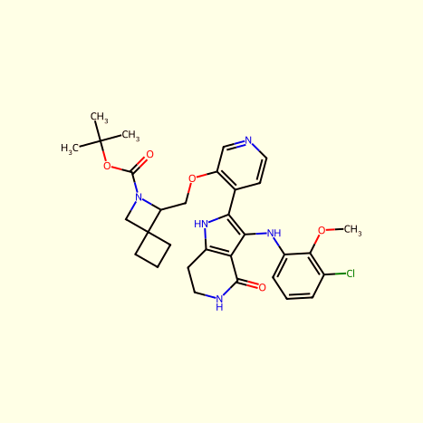 COc1c(Cl)cccc1Nc1c(-c2ccncc2OCC2N(C(=O)OC(C)(C)C)CC23CCC3)[nH]c2c1C(=O)NCC2